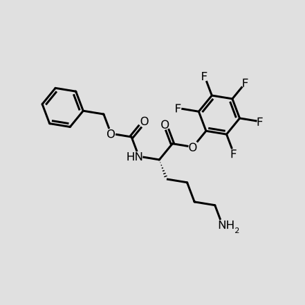 NCCCC[C@H](NC(=O)OCc1ccccc1)C(=O)Oc1c(F)c(F)c(F)c(F)c1F